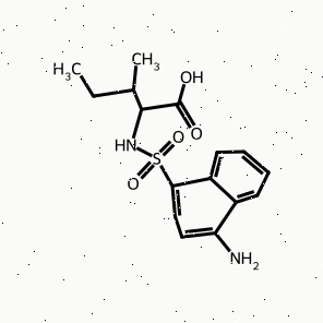 CCC(C)C(NS(=O)(=O)c1ccc(N)c2ccccc12)C(=O)O